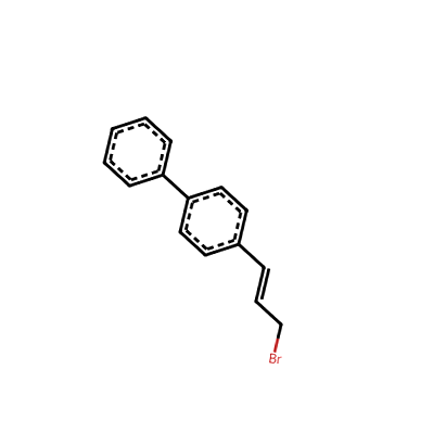 BrCC=Cc1ccc(-c2ccccc2)cc1